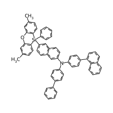 Cc1ccc2c(c1)Oc1cc(C)ccc1[Si]2(c1ccccc1)c1ccc2cc(N(c3ccc(-c4ccccc4)cc3)c3ccc(-c4cccc5ccccc45)cc3)ccc2c1